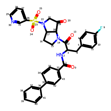 O=C(NC(Cc1ccc(F)cc1)C(=O)N1CCC2C1C(=O)CN2S(=O)(=O)c1cccnc1)c1ccc(-c2ccccc2)cc1